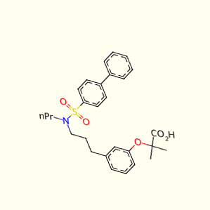 CCCN(CCCc1cccc(OC(C)(C)C(=O)O)c1)S(=O)(=O)c1ccc(-c2ccccc2)cc1